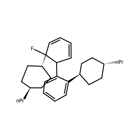 CCC[C@H]1CC[C@H](c2ccccc2C2C=CC=CC2(F)[C@H]2CC[C@H](CCC)CC2)CC1